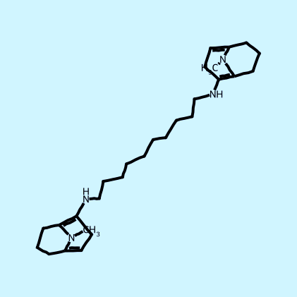 CN1C2=CCC(NCCCCCCCCCCNC3=C4CCCC(=CC3)N4C)=C1CCC2